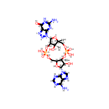 Nc1nc2c(nnn2[C@@H]2O[C@@H]3COP(=O)(O)O[C@@H]4C(COP(=O)(O)O[C@@H]2[C@@H]3O)O[C@@H](n2cnc3c(N)ncnc32)[C@@H]4O)c(=O)[nH]1